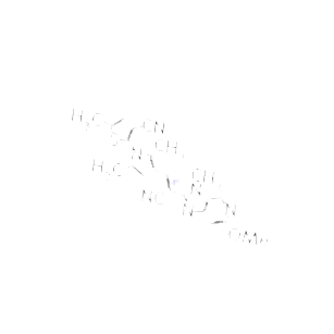 COc1cc2nc(/C(C#N)=C/c3cc(C)n(-c4sc(C)cc4C#N)c3C)n(C)c2cn1